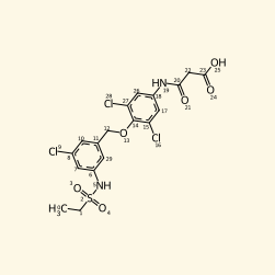 CCS(=O)(=O)Nc1cc(Cl)cc(COc2c(Cl)cc(NC(=O)CC(=O)O)cc2Cl)c1